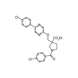 CCOC(=O)C1(COc2cnc(-c3ccc(Cl)cc3)cn2)CCN(C(=O)c2ccc(Cl)cc2)C1